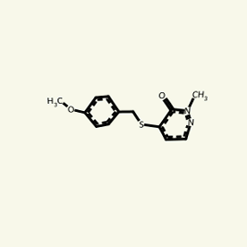 COc1ccc(CSc2ccnn(C)c2=O)cc1